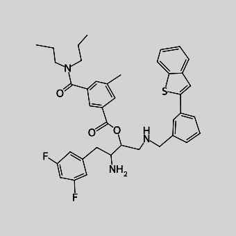 CCCN(CCC)C(=O)c1cc(C)cc(C(=O)OC(CNCc2cccc(-c3cc4ccccc4s3)c2)C(N)Cc2cc(F)cc(F)c2)c1